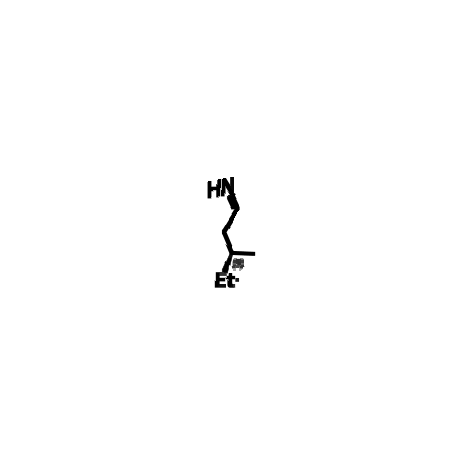 C[CH][C@H](C)CC=N